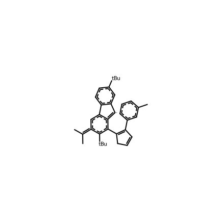 CC(C)=c1cc2c(c(C3=C(c4cccc(C)c4)C=CC3)c1C(C)(C)C)=[C]c1cc(C(C)(C)C)ccc1-2